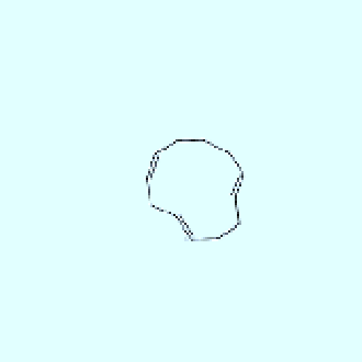 [C]1=C/C/C=C\CCC/C=C/CC/1